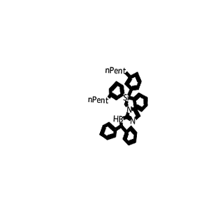 CCCCCc1cccc([Si](Cn2ccnc2BC(c2ccccc2)c2ccccc2)(c2ccccc2)c2cccc(CCCCC)c2)c1